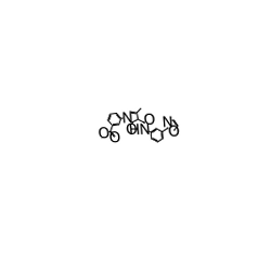 COC(=O)c1cccc(N2C=C(C)C(C(=O)Nc3cccc(-c4ncco4)c3)C2=O)c1